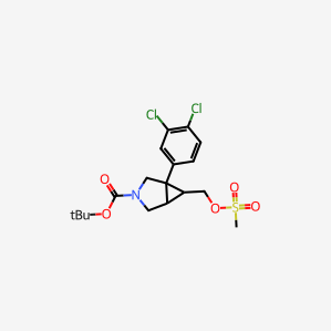 CC(C)(C)OC(=O)N1CC2C(COS(C)(=O)=O)C2(c2ccc(Cl)c(Cl)c2)C1